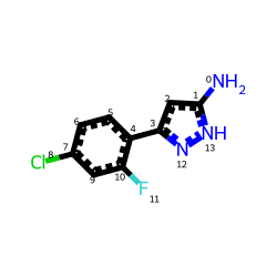 Nc1cc(-c2ccc(Cl)cc2F)n[nH]1